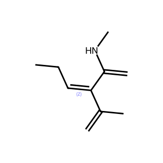 C=C(C)/C(=C/CC)C(=C)NC